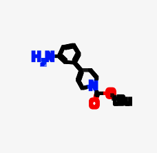 CC(C)(C)OC(=O)N1CC=C(c2cccc(N)c2)CC1